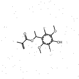 C=C(C)C(=O)OC(C)c1c(I)c(OC)c(O)c(I)c1OC